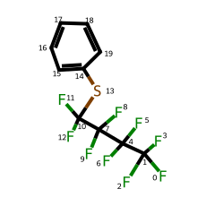 FC(F)(F)C(F)(F)C(F)(F)C(F)(F)Sc1ccccc1